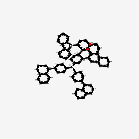 c1ccc(-n2c3ccccc3c3ccccc32)c(-c2ccc(N(c3ccc(-c4cccc5ccccc45)cc3)c3ccc(-c4cccc5ccccc45)cc3)cc2-c2cc3ccccc3c3ccccc23)c1